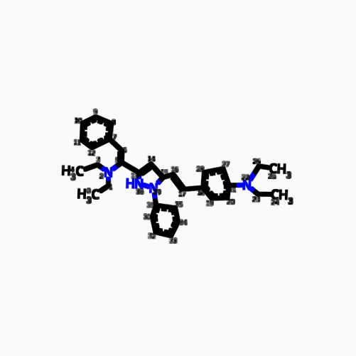 CCN(CC)C(=Cc1ccccc1)C1=CC(C=Cc2ccc(N(CC)CC)cc2)N(c2ccccc2)N1